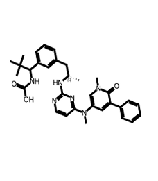 C[C@@H](Cc1cccc(C(NC(=O)O)C(C)(C)C)c1)Nc1nccc(N(C)c2cc(-c3ccccc3)c(=O)n(C)c2)n1